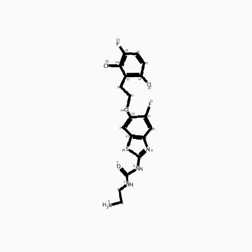 NCCNC(=O)Nc1nc2cc(F)c(OCCc3c(Cl)ccc(F)c3Cl)cc2s1